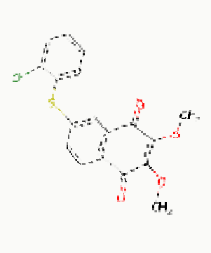 COC1=C(OC)C(=O)c2cc(Sc3ccccc3Cl)ccc2C1=O